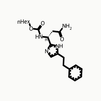 CCCCCCOC(=O)N[C@H](CC(N)=O)c1ncc(CCc2ccccc2)[nH]1